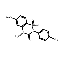 COc1ccc2c(c1)N(C)C(=O)N(c1ccc(C(F)(F)F)cc1)S2(=O)=O